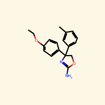 CCOc1ccc(C2(c3cccc(C)c3)COC(N)=N2)cc1